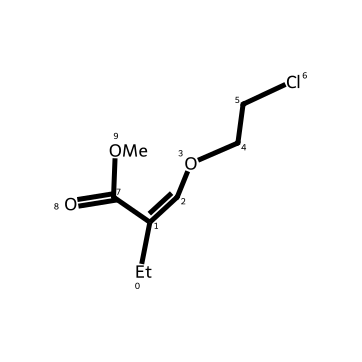 CCC(=COCCCl)C(=O)OC